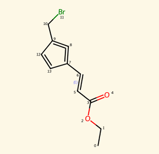 CCOC(=O)/C=C/C1=C=C(CBr)C=C1